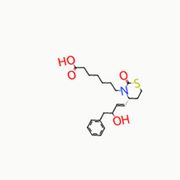 O=C(O)CCCCCCN1C(=O)SCC[C@@H]1/C=C/C(O)Cc1ccccc1